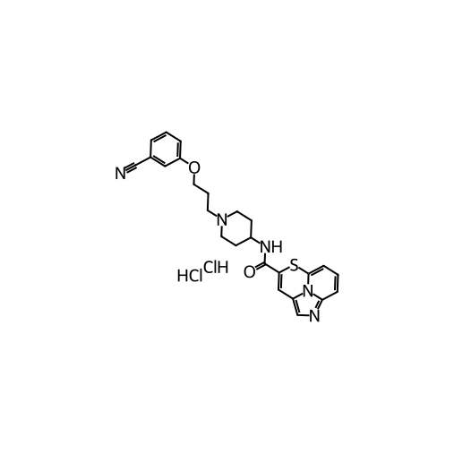 Cl.Cl.N#Cc1cccc(OCCCN2CCC(NC(=O)C3=Cc4cnc5cccc(n45)S3)CC2)c1